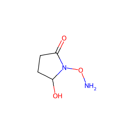 NON1C(=O)CCC1O